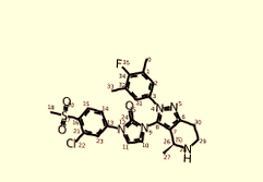 Cc1cc(-n2nc3c(c2-n2ccn(-c4ccc(S(C)(=O)=O)c(Cl)c4)c2=O)[C@H](C)NCC3)cc(C)c1F